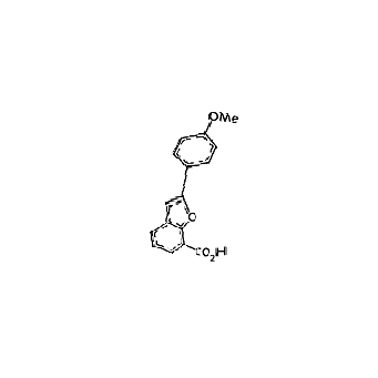 COc1ccc(-c2cc3cccc(C(=O)O)c3o2)cc1